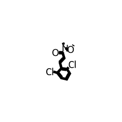 CON(C)C(=O)C=Cc1c(Cl)cccc1Cl